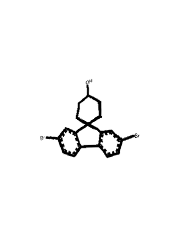 OC1CCC2(CC1)c1cc(Br)ccc1-c1ccc(Br)cc12